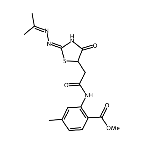 COC(=O)c1ccc(C)cc1NC(=O)CC1S/C(=N/N=C(C)C)NC1=O